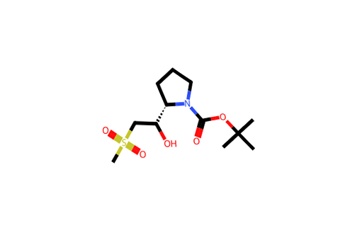 CC(C)(C)OC(=O)N1CCC[C@H]1C(O)CS(C)(=O)=O